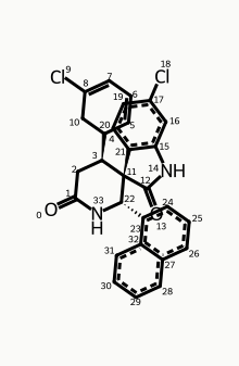 O=C1C[C@@H](C2C=CC=C(Cl)C2)[C@]2(C(=O)Nc3cc(Cl)ccc32)[C@H](c2cccc3ccccc23)N1